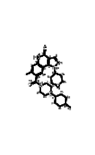 Cc1cc2[nH]c(=O)c3cnn(C4CCOCC4)c3c2cc1C(=O)N1CCN(C2CCC(C)CC2)CC1